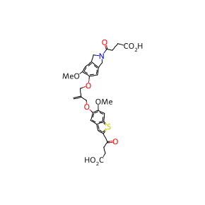 C=C(COc1cc2c(cc1OC)CN(C(=O)CCC(=O)O)C2)COc1cc2cc(C(=O)CCC(=O)O)sc2cc1OC